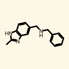 Cc1nc2cc(CNCc3ccccc3)ccc2[nH]1